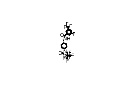 O=C(NC[C@H]1CC[C@@H](N2CC(C(F)(F)F)(C(F)(F)F)OC2=O)CC1)c1cc(F)cc(C(F)(F)F)c1